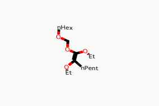 CCCCCCOCO/C(OCC)=C(/CCCCC)OCC